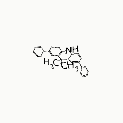 CC1(C)C2=C(CCC(C3C=CC=CC3)=C2)NC2C=CC(c3ccccc3)=CC21